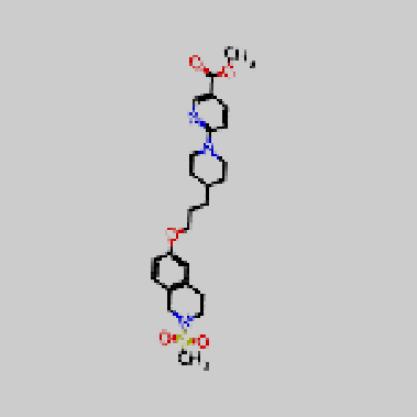 COC(=O)c1ccc(N2CCC(CCCOc3ccc4c(c3)CCN(S(C)(=O)=O)C4)CC2)nc1